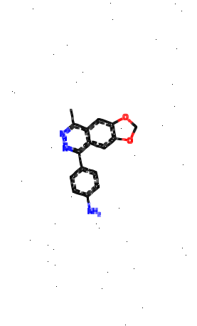 Cc1nnc(-c2ccc(N)cc2)c2cc3c(cc12)OCO3